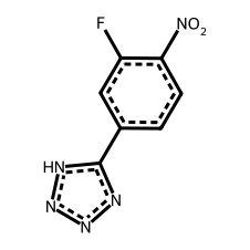 O=[N+]([O-])c1ccc(-c2nnn[nH]2)cc1F